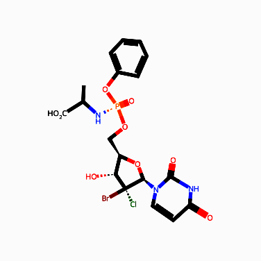 CC(N[P@](=O)(OC[C@H]1O[C@@H](n2ccc(=O)[nH]c2=O)[C@@](Cl)(Br)[C@@H]1O)Oc1ccccc1)C(=O)O